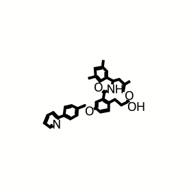 Cc1cc(C)cc(C(CC(C)C)NC(=O)c2cc(OCc3ccc(-c4ccccn4)cc3)ccc2CCC(=O)O)c1